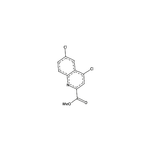 COC(=O)c1cc(Cl)c2cc(Cl)ccc2n1